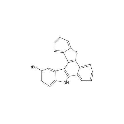 CC(C)(C)c1ccc2[nH]c3c4ccccc4c4sc5ccccc5c4c3c2c1